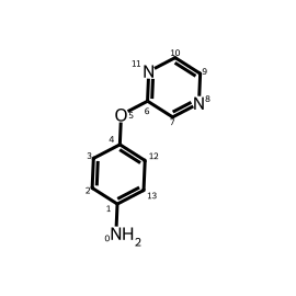 Nc1ccc(Oc2cnccn2)cc1